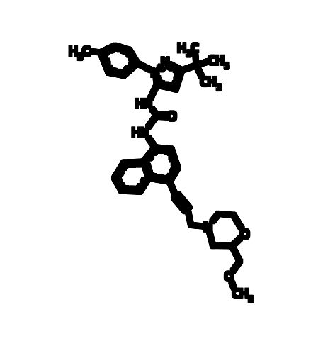 COCC1CN(CC#Cc2ccc(NC(=O)Nc3cc(C(C)(C)C)nn3-c3ccc(C)cc3)c3ccccc23)CCO1